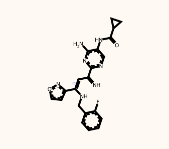 N=C(/C=C(\NCc1ccccc1F)c1ccon1)c1ncc(NC(=O)C2CC2)c(N)n1